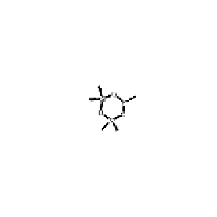 CP1O[Si](C)(C)O[Si](C)(C)O1